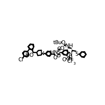 CC(C)(C)OC(=O)NCC[C@H](CSc1ccccc1)Nc1ccc(S(=O)(=O)NC(=O)c2ccc(N3CCC([C@H](O)c4ccccc4-c4ccc(Cl)cc4)CC3)cc2)cc1S(=O)(=O)C(F)(F)F